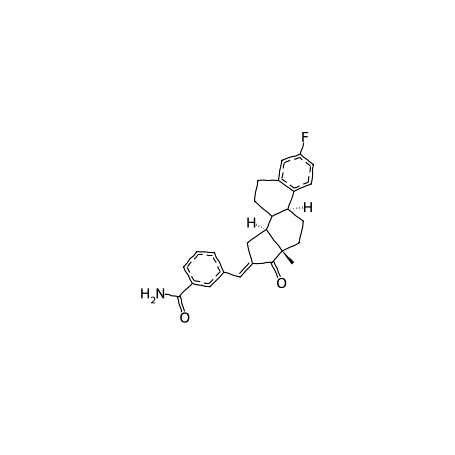 C[C@]12CC[C@@H]3c4ccc(F)cc4CCC3[C@@H]1C/C(=C\c1cccc(C(N)=O)c1)C2=O